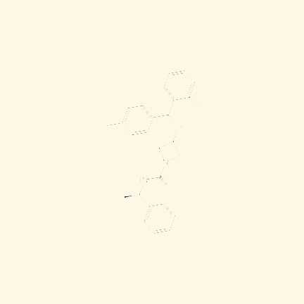 C[C@@H](NC(=O)N1CC(OC(c2ccc(Cl)cc2)c2ccccc2Cl)C1)c1ccccc1